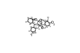 COc1cc(C)c(S(=O)(=O)N(Cc2cccc(I)c2)[C@@H](Cc2ccccc2)C(=O)O)c(C)c1C